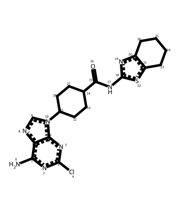 Nc1nc(Cl)nc2c1ncn2C1CCC(C(=O)Nc2nc3c(s2)CCCC3)CC1